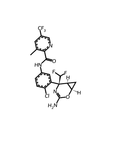 Cc1cc(C(F)(F)F)cnc1C(=O)Nc1ccc(Cl)c([C@@]2(C(F)F)N=C(N)O[C@@H]3C[C@@H]32)c1